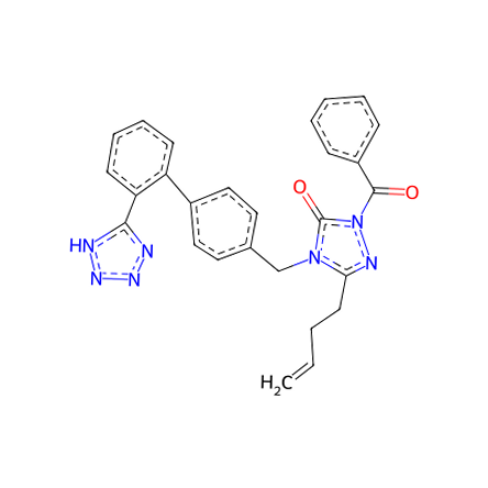 C=CCCc1nn(C(=O)c2ccccc2)c(=O)n1Cc1ccc(-c2ccccc2-c2nnn[nH]2)cc1